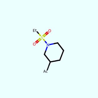 CCS(=O)(=O)N1CCCC(C(C)=O)C1